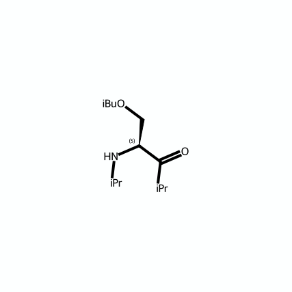 CC(C)COC[C@H](NC(C)C)C(=O)C(C)C